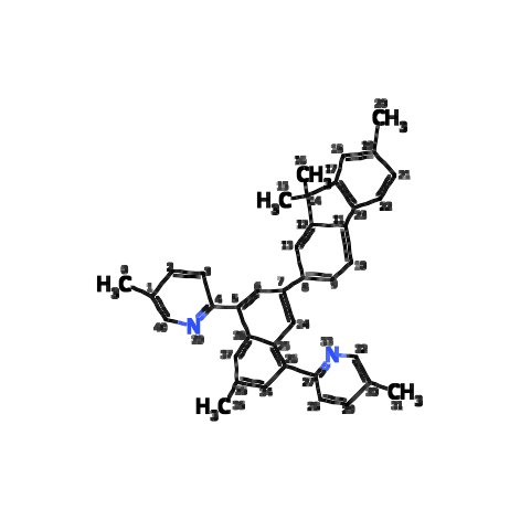 Cc1ccc(-c2cc(-c3ccc4c(c3)C(C)(C)c3cc(C)ccc3-4)cc3c(-c4ccc(C)cn4)cc(C)cc23)nc1